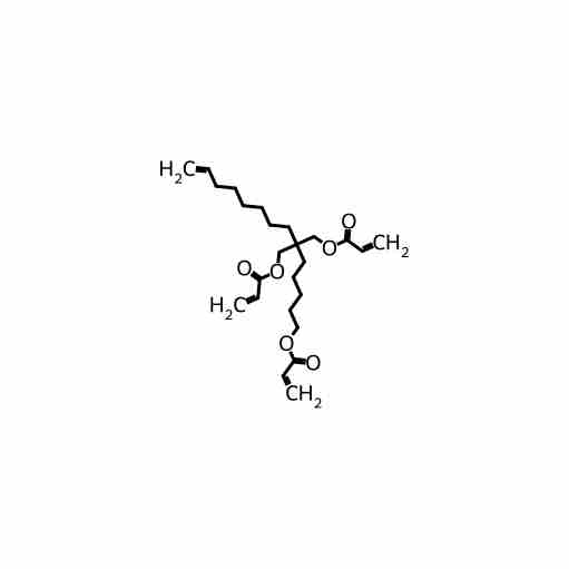 C=CCCCCCCC(CCCCCOC(=O)C=C)(COC(=O)C=C)COC(=O)C=C